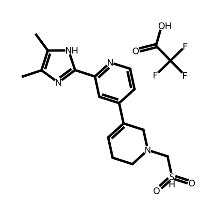 Cc1nc(-c2cc(C3=CCCN(C[SH](=O)=O)C3)ccn2)[nH]c1C.O=C(O)C(F)(F)F